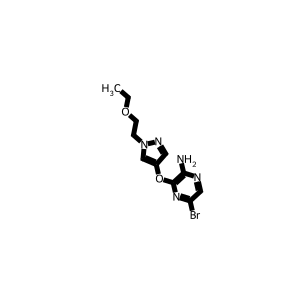 CCOCCn1cc(Oc2nc(Br)cnc2N)cn1